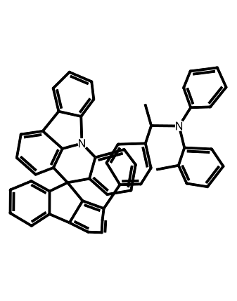 Cc1ccccc1N(c1ccccc1)C(C)c1ccc(-c2cccc3c2C2(c4ccccc4-3)c3ccccc3-n3c4ccccc4c4cccc2c43)cc1